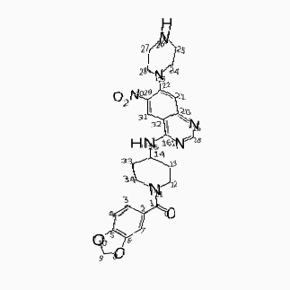 O=C(c1ccc2c(c1)OCO2)N1CCC(Nc2ncnc3cc(N4CCNCC4)c([N+](=O)[O-])cc23)CC1